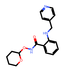 O=C(NOC1CCCCO1)c1ccccc1NCc1ccncc1